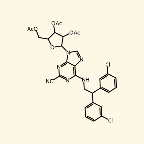 CC(=O)OCC1OC(n2cnc3c(NCC(c4cccc(Cl)c4)c4cccc(Cl)c4)nc(C#N)nc32)C(OC(C)=O)C1OC(C)=O